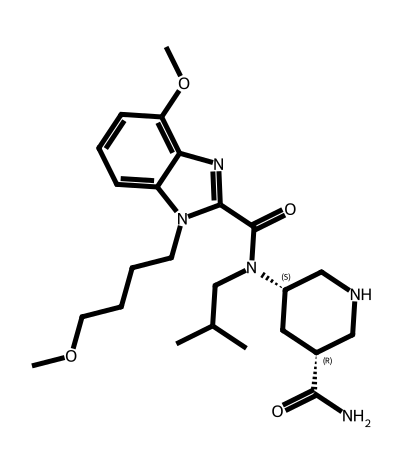 COCCCCn1c(C(=O)N(CC(C)C)[C@@H]2CNC[C@H](C(N)=O)C2)nc2c(OC)cccc21